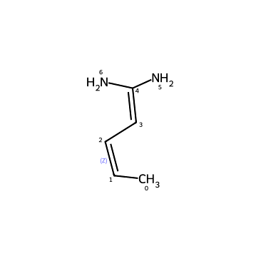 C/C=C\C=C(N)N